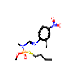 CCCCSP(=O)(OC)N(C)C=Nc1ccc([N+](=O)[O-])cc1C